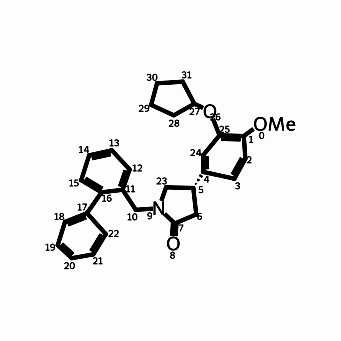 COc1ccc([C@@H]2CC(=O)N(Cc3ccccc3-c3ccccc3)C2)cc1OC1CCCC1